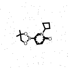 CC1(C)COB(c2ccc(=O)n(C3CCC3)c2)O1